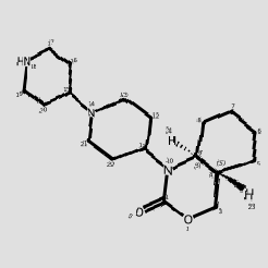 O=C1OC[C@H]2CCCC[C@@H]2N1C1CCN(C2CCNCC2)CC1